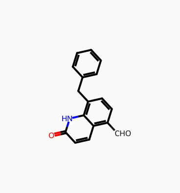 O=Cc1ccc(Cc2ccccc2)c2[nH]c(=O)ccc12